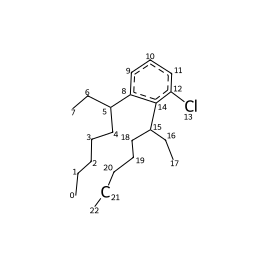 CCCCCC(CC)c1cccc(Cl)c1C(CC)CCCCC